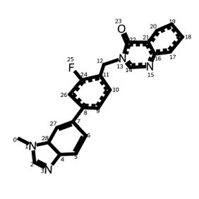 CN1C=NC2C=CC(c3ccc(Cn4cnc5ccccc5c4=O)c(F)c3)=CC21